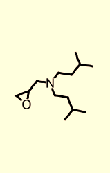 CC(C)CCN(CCC(C)C)CC1CO1